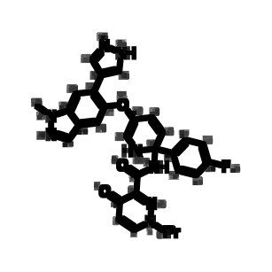 CC(C)n1ccc(=O)c(C(=O)NC2(c3ccc(F)cc3)C=CC(Oc3cc4cnn(C)c4cc3-c3cn[nH]c3)=CN2)n1